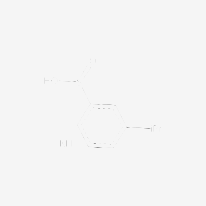 CC(C)c1cccc(S(=O)O)c1.[KH]